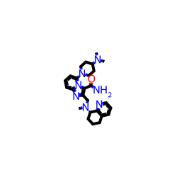 CN(C)C1CCN(c2cccc3nc(CN(C)[C@H]4CCCc5cccnc54)c(C(N)=O)n23)CC1